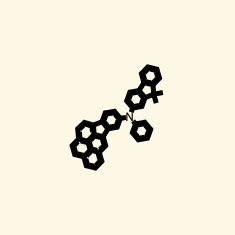 CC1(C)c2ccccc2-c2ccc(N(c3ccccc3)c3ccc4c(c3)-c3cc5cccc6ccc7ccc-4c3c7c65)cc21